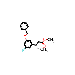 CC[C@@H](CC(=O)OC)c1cc(F)cc(OCc2ccccc2)c1